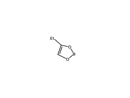 CCC1=CO[B]O1